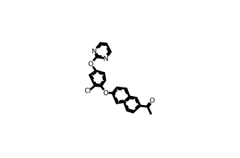 CC(=O)c1ccc2cc(Oc3ccc(Oc4ncccn4)cc3Cl)ccc2c1